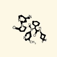 Cc1cncc(N(C(=O)[C@@H]2CCC(=O)N2c2cc(C#N)ccn2)[C@H](C(=O)NC2CC(F)(F)C2)c2ccccc2)c1